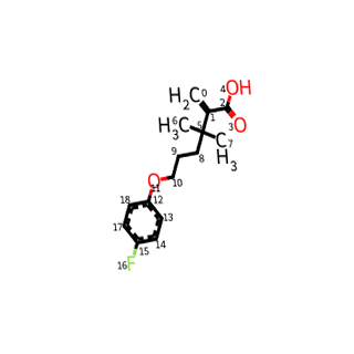 C=C(C(=O)O)C(C)(C)CCCOc1ccc(F)cc1